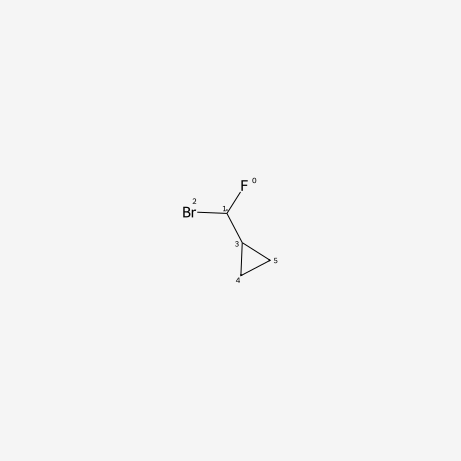 F[C](Br)C1CC1